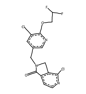 O=C1c2ccnc(Cl)c2CN1Cc1cnc(OCC(F)F)c(Cl)c1